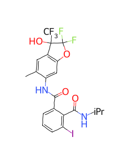 Cc1cc2c(cc1NC(=O)c1cccc(I)c1C(=O)NC(C)C)OC(F)(F)C2(O)C(F)(F)F